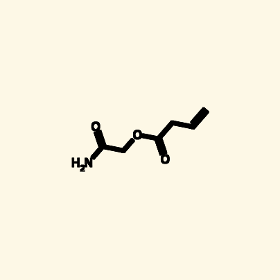 C=CCC(=O)OCC(N)=O